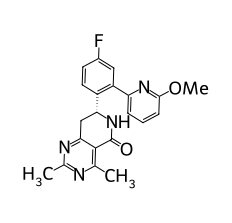 COc1cccc(-c2cc(F)ccc2[C@H]2Cc3nc(C)nc(C)c3C(=O)N2)n1